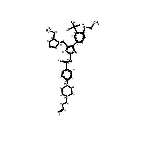 CCOc1ccc(-c2nc(NC(=O)c3cnc(N4CCN(CCC=O)CC4)cn3)sc2CN2CCCC2CC)cc1C(F)(F)F